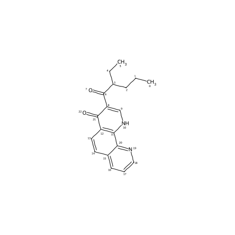 CCCC(CC)C(=O)c1c[nH]c2c(ccc3cccnc32)c1=O